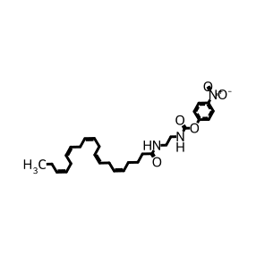 CC/C=C\C/C=C\C/C=C\C/C=C\C/C=C\CCCC(=O)NCCNC(=O)Oc1ccc([N+](=O)[O-])cc1